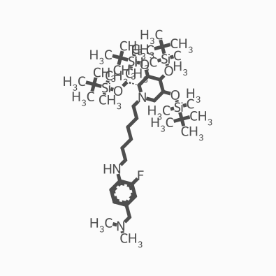 CN(C)Cc1ccc(NCCCCCCN2CC(O[Si](C)(C)C(C)(C)C)C(O[Si](C)(C)C(C)(C)C)C(O[Si](C)(C)C(C)(C)C)[C@H]2CO[Si](C)(C)C(C)(C)C)c(F)c1